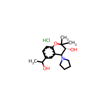 CC(O)c1ccc2c(c1)[C@H](N1CCCC1)[C@@H](O)C(C)(C)O2.Cl